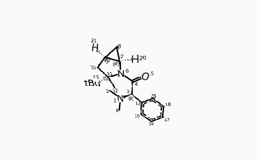 CN(C)[C@@H](C(=O)N1[C@@H]2C[C@@H]2C[C@@]1(C)C(C)(C)C)c1ccccc1